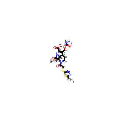 Cc1nnc(SCC(=O)N2CCC3C(COC(N)=O)=C(C(=O)[O-])N4C(=O)[C@@H]2[C@@H]34)s1.[Na+]